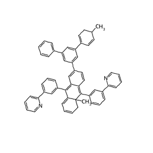 CC1C=CC(c2cc(-c3ccccc3)cc(-c3ccc4c(c3)=C(c3cccc(-c5ccccn5)c3)C3=CC=CCC3(C)C=4c3cccc(-c4ccccn4)c3)c2)=CC1